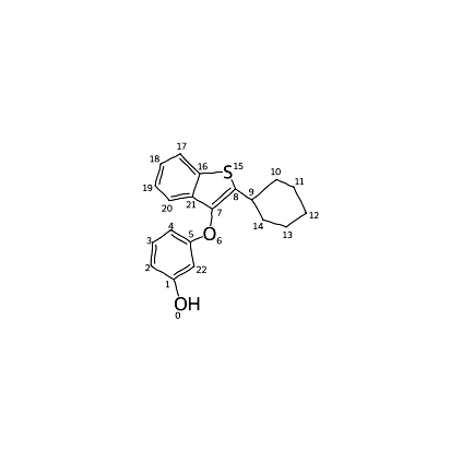 Oc1cccc(Oc2c(C3CCCCC3)sc3ccccc23)c1